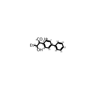 CCC(O)C(C(=O)O)c1ccc(-c2ccccc2)cc1